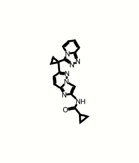 O=C(Nc1cn2nc(C3(c4nnc5ccccn45)CC3)ccc2n1)C1CC1